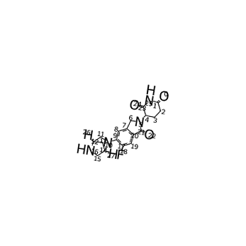 O=C1CCC(N2Cc3cc(N4C[C@@H]5C[C@H]4CN5)c(F)cc3C2=O)C(=O)N1